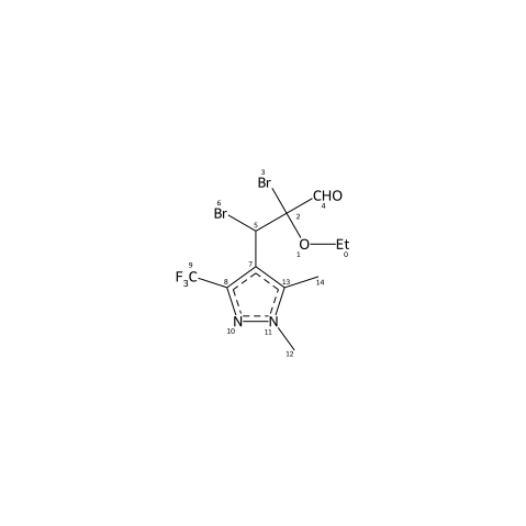 CCOC(Br)(C=O)C(Br)c1c(C(F)(F)F)nn(C)c1C